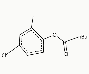 CCCCC(=O)Oc1ccc(Cl)cc1C